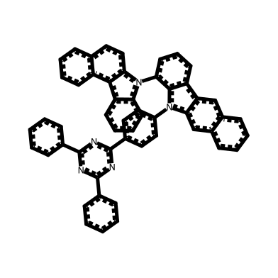 c1ccc(-c2nc(-c3ccccc3)nc(-c3ccc(-n4c5cc6ccccc6cc5c5cccc(-n6c7ccccc7c7c8ccccc8ccc76)c54)cc3)n2)cc1